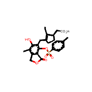 CC1=C(Cc2c(O)c(C)c3c(c2OS(=O)(=O)c2ccc(C)cc2)C(=O)OC3)CCC1CC(=O)O